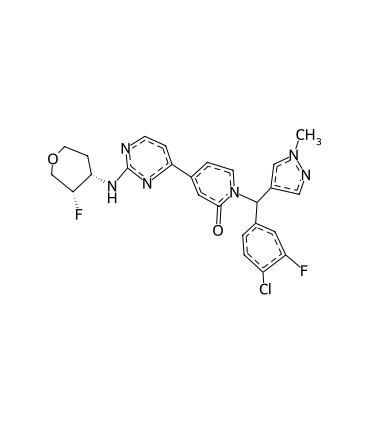 Cn1cc(C(c2ccc(Cl)c(F)c2)n2ccc(-c3ccnc(N[C@H]4CCOC[C@H]4F)n3)cc2=O)cn1